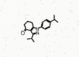 CC(C)c1ccc(-n2nc(C(C)C)c3c2CCCC3=O)cc1